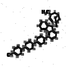 CC1C=C2C3CC(C1)CC3C21c2ccccc2-c2c(-c3ccc(-c4ccc(-c5ccc(Cl)cc5)cc4)cc3)cccc21